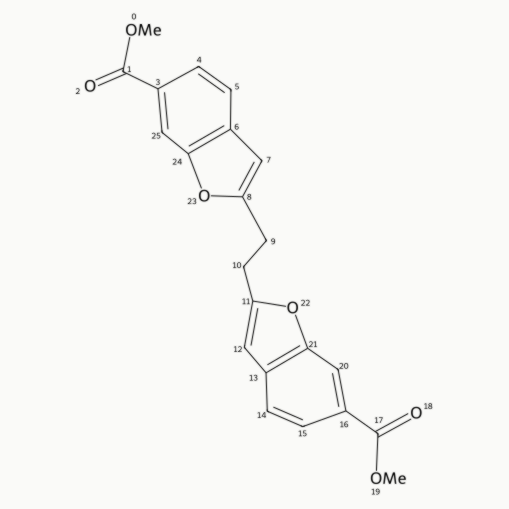 COC(=O)c1ccc2cc(CCc3cc4ccc(C(=O)OC)cc4o3)oc2c1